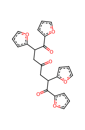 O=C(CC(C(=O)c1ccco1)c1ccco1)CC(C(=O)c1ccco1)c1ccco1